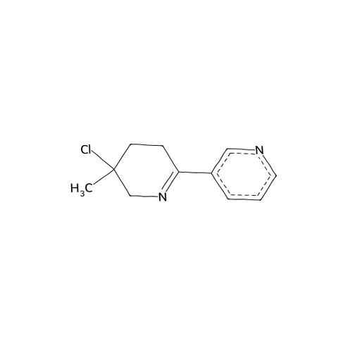 CC1(Cl)CCC(c2cccnc2)=NC1